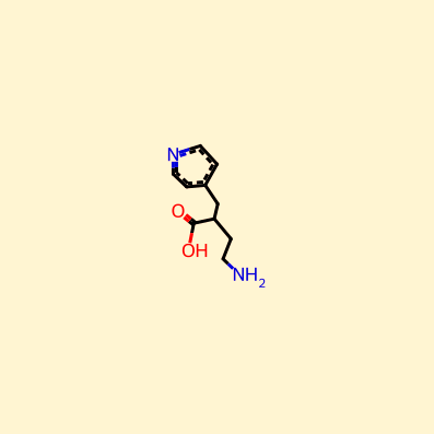 NCCC(Cc1ccncc1)C(=O)O